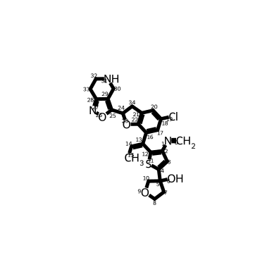 C=Nc1cc(C2(O)CCOC2)sc1/C(=C\C)c1cc(Cl)cc2c1OC(c1onc3c1CNCC3)C2